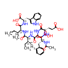 CC[C@H](C)[C@H](NC(=O)[C@H](CC(=O)O)NC(=O)[C@H](CCC(=O)O)NC(=O)[C@@H](Cc1ccccc1)NC(C)=O)C(=O)N[C@H](C(=O)N[C@@H](Cc1c[nH]c2ccccc12)C(=O)O)[C@@H](C)CC